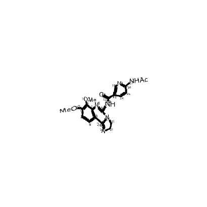 COc1ccc2c(c1OC)N=C(NC(=O)c1ccc(NC(C)=O)nc1)N1CCN=C21